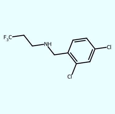 FC(F)(F)CCNCc1ccc(Cl)cc1Cl